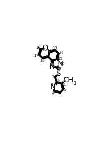 Cc1cccnc1CSc1nc2ccc3occcc3c2n1